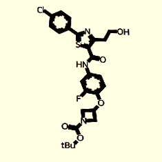 CC(C)(C)OC(=O)N1CC(Oc2ccc(NC(=O)c3sc(-c4ccc(Cl)cc4)nc3CCO)cc2F)C1